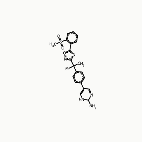 CC(C)C(C)(c1ccc(C2=CNC(N)N=C2)cc1)c1noc(-c2ccccc2S(C)(=O)=O)n1